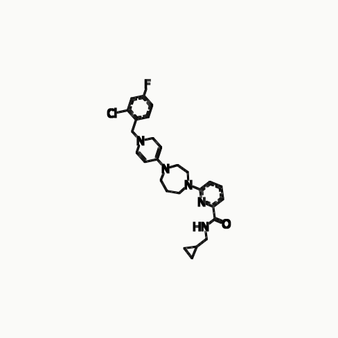 O=C(NCC1CC1)c1cccc(N2CCCN(C3=CCN(Cc4ccc(F)cc4Cl)C=C3)CC2)n1